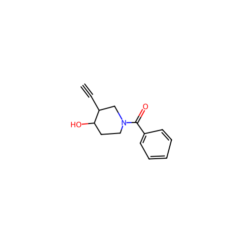 C#CC1CN(C(=O)c2ccccc2)CCC1O